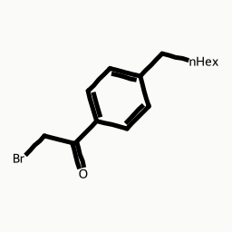 CCCCCCCc1ccc(C(=O)CBr)cc1